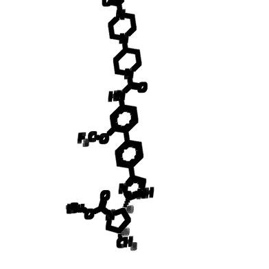 C[C@H]1C[C@@H](c2nc(-c3ccc(-c4ccc(NC(=O)N5CCC(N6CCN(C(=O)C(C)(C)C)CC6)CC5)cc4OC(F)(F)F)cc3)c[nH]2)N(C(=O)OC(C)(C)C)C1